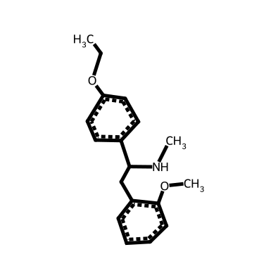 CCOc1ccc(C(Cc2ccccc2OC)NC)cc1